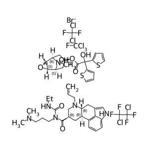 C=CCN1C[C@H](C(=O)N(CCCN(C)C)C(=O)NCC)C[C@@H]2c3cccc4[nH]cc(c34)C[C@H]21.C[N+]1(C)[C@@H]2C[C@@H](OC(=O)C(O)(c3cccs3)c3cccs3)C[C@H]1[C@@H]1O[C@@H]12.FC(Cl)(Cl)Cl.FC(F)(Cl)C(F)(F)Cl.FC(F)(Cl)Cl.[Br-]